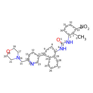 Cc1c(NC(=O)Nc2ccc(-c3ccc(CN4CCOCC4)nc3)c3ccccc23)cccc1[N+](=O)[O-]